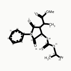 COC(=O)C(C)C1C(=O)N(c2ccccc2)C(=O)C1SC(=S)OC(C)C(C)C